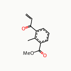 C=CC(=O)c1cccc(C(=O)OC)c1C